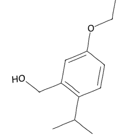 CCOc1ccc(C(C)C)c(CO)c1